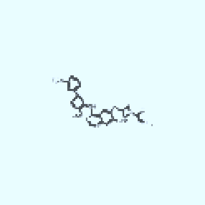 C=CC(=O)N1CC(Oc2cc3c(Nc4cc(-c5cccc(C(F)(F)F)c5)ccc4OC)ncnc3cc2OC)C1